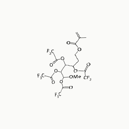 C=C(C)C(=O)OCCC(OC(=O)C(F)(F)F)C(OC(=O)C(F)(F)F)C(OC(=O)C(F)(F)F)C(OC)OC(=O)C(F)(F)F